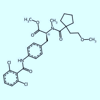 COCCC1(C(=O)N(C)[C@@H](Cc2ccc(NC(=O)c3c(Cl)cccc3Cl)cc2)C(=O)OC)CCCC1